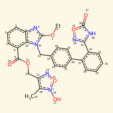 CCOc1nc2cccc(C(=O)OCc3no[n+](O)c3C)c2n1Cc1ccc(-c2ccccc2-c2noc(=O)[nH]2)cc1